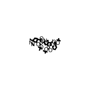 Cc1nn(C)c2cc(C(=O)N(C(=O)OC(C)(C)C)c3cc4c(cn3)c(I)c([C@H]3CCCN3C(=O)OC(C)(C)C)n4C(=O)OC(C)(C)C)ccc12